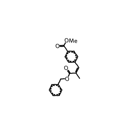 COC(=O)c1ccc(/C=C(/C)C(=O)OCc2ccccc2)cc1